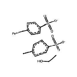 CCO.Cc1ccc(S(=O)(=O)[O-])cc1.Cc1ccc(S(=O)(=O)[O-])cc1.[Fe+2]